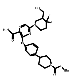 CC(C)(C)OC(=O)N1CCC(c2ccc(Nc3nc(N4CCC(F)(F)C(CO)C4)cnc3C(N)=O)cc2)CC1